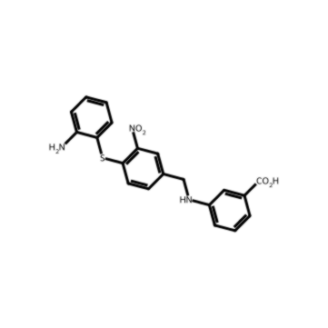 Nc1ccccc1Sc1ccc(CNc2cccc(C(=O)O)c2)cc1[N+](=O)[O-]